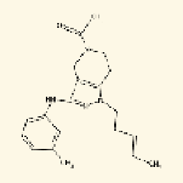 CC=CCCn1nc(Nc2cccc(C)c2)c2c1CCN(C(C)=O)C2